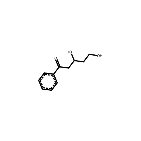 O=C(CC(O)CCO)c1ccccc1